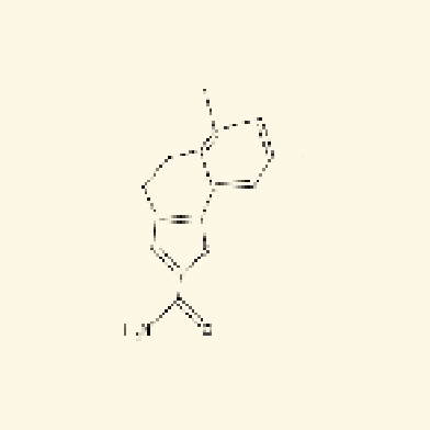 Cc1cc(C)c2c(c1)-c1sc(C(N)=O)cc1CC2